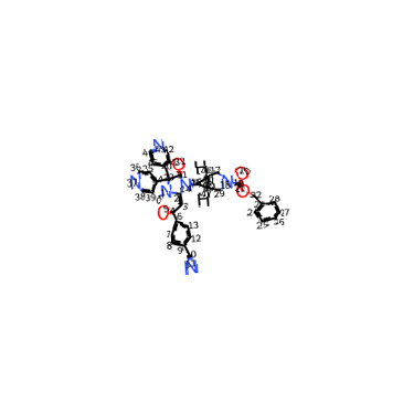 CN1C(=CC(=O)c2ccc(C#N)cc2)N([C@H]2[C@@H]3CN(C(=O)OCc4ccccc4)C[C@@H]32)C(=O)C1(c1ccncc1)c1ccncc1